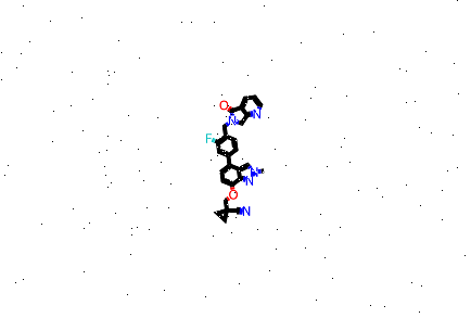 Cn1cc2c(-c3ccc(CN4Cc5ncccc5C4=O)c(F)c3)ccc(OCC3(C#N)CC3)c2n1